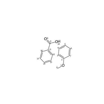 COc1ccccc1.O=C(O)c1ccccc1